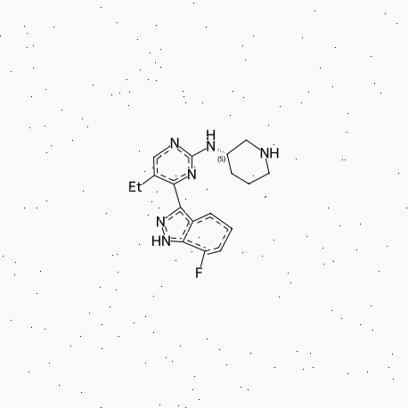 CCc1cnc(N[C@H]2CCCNC2)nc1-c1n[nH]c2c(F)cccc12